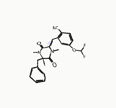 CN1C(=O)C(C)(Cc2ccccc2)N(C)C(=O)/C1=C/c1cc(OC(F)F)ccc1C#N